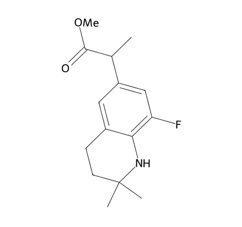 COC(=O)C(C)c1cc(F)c2c(c1)CCC(C)(C)N2